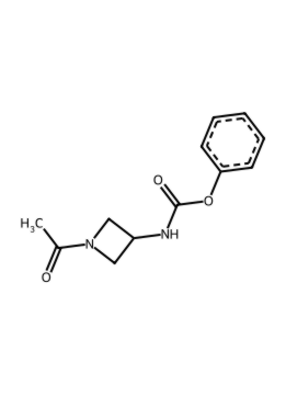 CC(=O)N1CC(NC(=O)Oc2ccccc2)C1